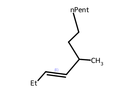 [CH2]C/C=C/C(C)CCCCCC[CH2]